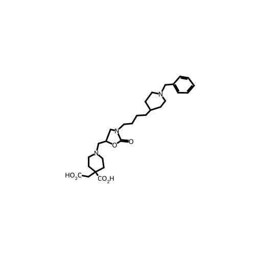 O=C(O)CC1(C(=O)O)CCN(CC2CN(CCCCC3CCN(Cc4ccccc4)CC3)C(=O)O2)CC1